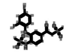 CS(=O)(=O)CC(=O)c1ccc(NS(C)(=O)=O)c(Oc2ccc(F)cc2F)c1